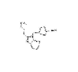 CCCCc1nc2cccnc2n1Cc1ccc(C#N)cc1